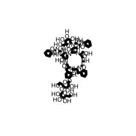 CCC(c1ccccc1)C1NC(=O)CNC(=O)C(CO)NC(=O)C(C(O)C2CN(c3nc4ccccc4o3)C(=N)N2C2OC(CO)C(O)C(O)C2O)NC(=O)C(C(O)C2CN/C(=N/c3nc4ccccc4o3)N2)NC(=O)C(Cc2ccc(OC3OC(CO)C(OC4OC(CO)C(O)C(O)C4O)C(O)C3O)cc2)NC1=O